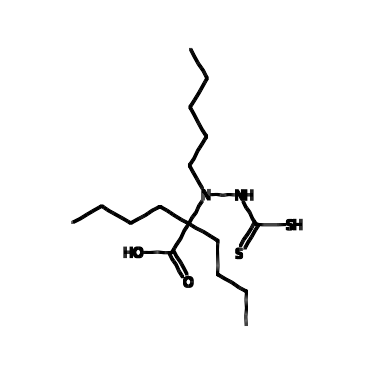 CCCCCN(NC(=S)S)C(CCCC)(CCCC)C(=O)O